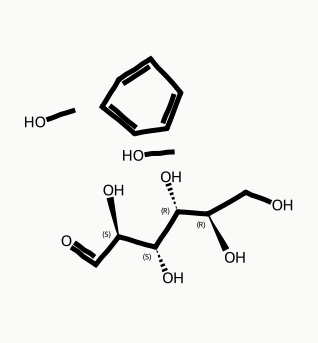 CO.CO.O=C[C@@H](O)[C@@H](O)[C@H](O)[C@H](O)CO.c1ccccc1